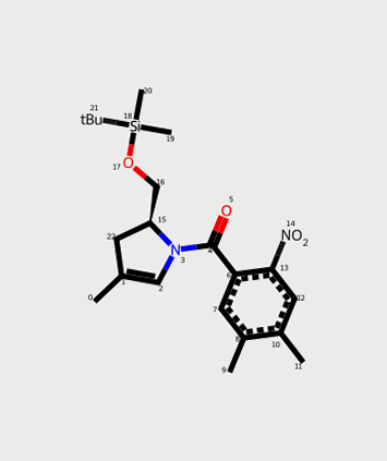 CC1=CN(C(=O)c2cc(C)c(C)cc2[N+](=O)[O-])[C@H](CO[Si](C)(C)C(C)(C)C)C1